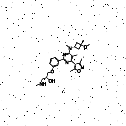 CNCC(O)COc1cccc(-c2nc(-c3c(C)noc3C)c(C)c(N(C)[C@H]3C[C@@](C)(OC)C3)n2)c1